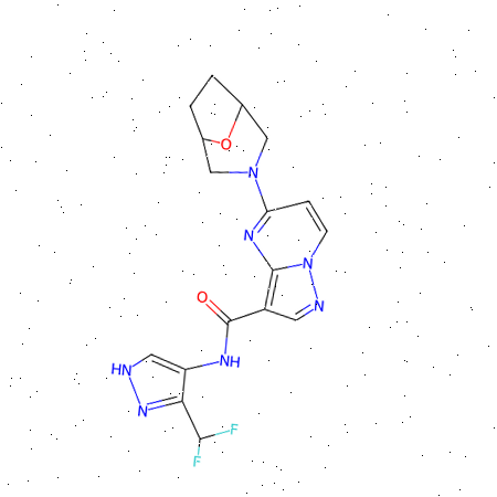 O=C(Nc1c[nH]nc1C(F)F)c1cnn2ccc(N3CC4CCC(C3)O4)nc12